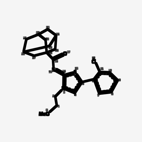 COCCn1cc(-c2ccccc2Cl)sc1=NC(=O)C12CC3CC(CC(C3)C1)C2